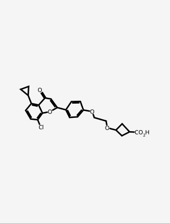 O=C(O)C1CC(OCCOc2ccc(-c3cc(=O)c4c(C5CC5)ccc(Cl)c4o3)cc2)C1